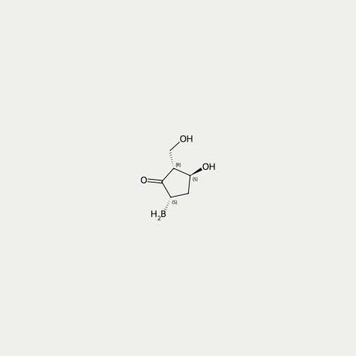 B[C@H]1C[C@H](O)[C@@H](CO)C1=O